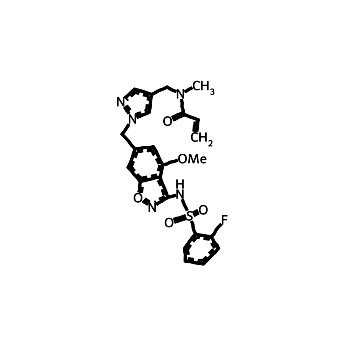 C=CC(=O)N(C)Cc1cnn(Cc2cc(OC)c3c(NS(=O)(=O)c4ccccc4F)noc3c2)c1